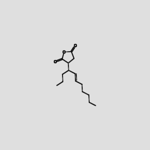 CCCCCC=CC(CCC)C1CC(=O)OC1=O